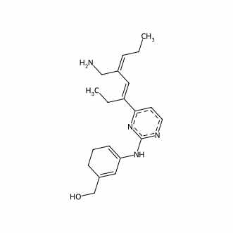 CC/C=C(\C=C(/CC)c1ccnc(NC2=CCCC(CO)=C2)n1)CN